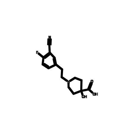 N#Cc1cc(CCN2CCC(O)(C(=O)O)CC2)ccc1F